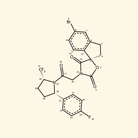 O=C1O[C@@]2(CCc3cc(Br)ccc32)C(=O)N1CC(=O)N1[C@H](c2ccc(F)cc2)CC[C@@H]1C(F)(F)F